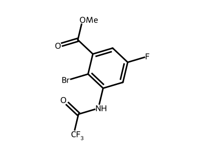 COC(=O)c1cc(F)cc(NC(=O)C(F)(F)F)c1Br